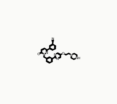 N#Cc1cccc(-c2ccc(=O)n(Cc3cccc(-c4ncc(OCCN5CCNCC5)cn4)c3)n2)c1